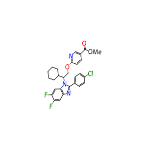 COC(=O)c1ccc(OCC(C2CCCCC2)n2c(-c3ccc(Cl)cc3)nc3cc(F)c(F)cc32)nc1